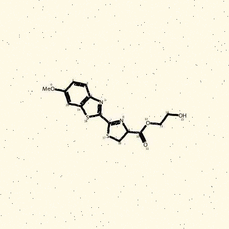 COc1ccc2nc(C3=NC(C(=O)OCCO)CS3)sc2c1